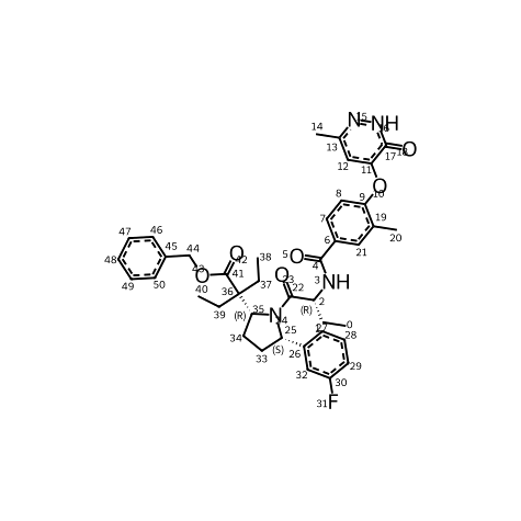 CC[C@@H](NC(=O)c1ccc(Oc2cc(C)n[nH]c2=O)c(C)c1)C(=O)N1[C@H](c2cccc(F)c2)CC[C@@H]1C(CC)(CC)C(=O)OCc1ccccc1